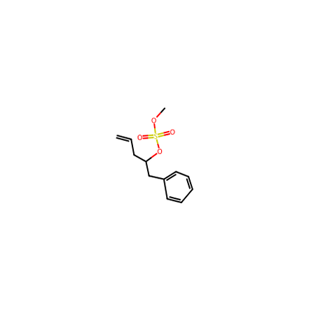 C=CCC(Cc1ccccc1)OS(=O)(=O)OC